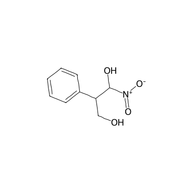 O=[N+]([O-])C(O)C(CO)c1ccccc1